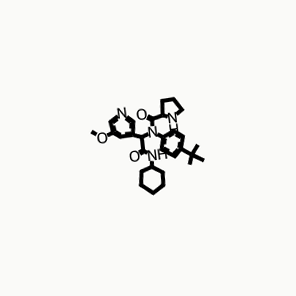 COc1cncc(C(C(=O)NC2CCCCC2)N(C(=O)C2CCCN2)c2ccc(C(C)(C)C)cc2)c1